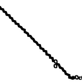 CCCCCCCC/C=C\CCCCCCCC(=O)OCCCCCCCCCCCCCCCCCCCCCCCCCCCCCCCCCCCCC(C)CC